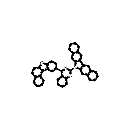 c1ccc2cc3c(cc2c1)c1cc2ccccc2cc1n3-c1nc(-c2ccc3oc4ccc5ccccc5c4c3c2)c2ccccc2n1